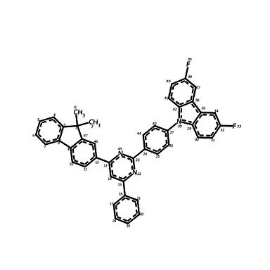 CC1(C)c2ccccc2-c2ccc(-c3cc(-c4ccccc4)nc(-c4ccc(-n5c6ccc(F)cc6c6cc(F)ccc65)cc4)n3)cc21